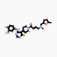 CC1CCC(CN(C)C/C=C/C(=O)N2CCc3c(sc4ncnc(Nc5ccc(F)c(Cl)c5)c34)C2)O1